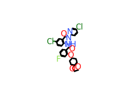 O=C(Nc1ccc(Cl)cn1)c1cc(Cl)ccc1NC(=O)c1ccc(F)cc1OC1CCC2(CC1)OCCO2